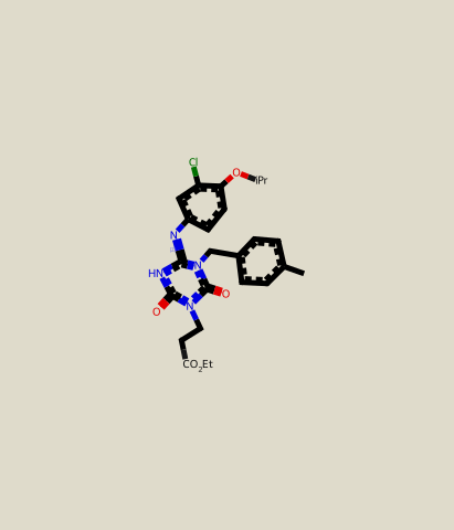 CCOC(=O)CCn1c(=O)[nH]/c(=N/c2ccc(OC(C)C)c(Cl)c2)n(Cc2ccc(C)cc2)c1=O